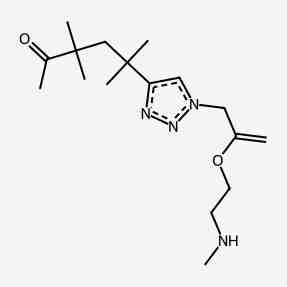 C=C(Cn1cc(C(C)(C)CC(C)(C)C(C)=O)nn1)OCCNC